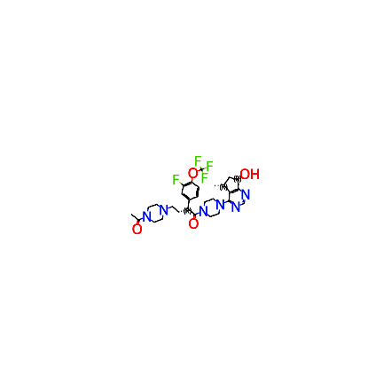 CC(=O)N1CCN(CC[C@@H](C(=O)N2CCN(c3ncnc4c3[C@H](C)C[C@H]4O)CC2)c2ccc(OC(F)(F)F)c(F)c2)CC1